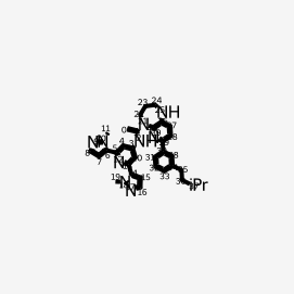 C=C(Nc1cc(-c2ccnn2C)nc(-c2ccnn2C)c1)N1CCCNc2ccc(-c3cccc(CCC(C)C)c3)nc21